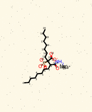 CCCCCCCCC(C(N)=O)C(CCCCCCCC)(C(=O)[O-])S(=O)(=O)[O-].[Na+].[Na+]